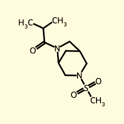 CC(C)C(=O)N1CC2CC1CN(S(C)(=O)=O)C2